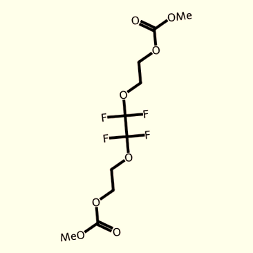 COC(=O)OCCOC(F)(F)C(F)(F)OCCOC(=O)OC